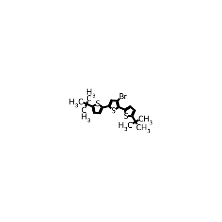 CC(C)(C)c1ccc(-c2cc(Br)c(-c3ccc(C(C)(C)C)s3)s2)s1